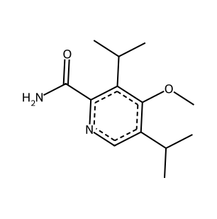 COc1c(C(C)C)cnc(C(N)=O)c1C(C)C